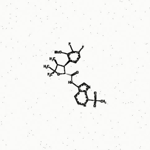 COc1c([C@H]2[C@H](C(=O)Nc3cnn4c(S(C)(=O)=O)nccc34)O[C@@](C)(C(F)(F)F)[C@H]2C)ccc(F)c1F